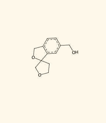 OCc1ccc2c(c1)C1(CCOC1)OC2